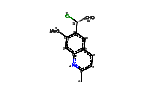 COc1cc2nc(C)ccc2cc1[C@H](Cl)C=O